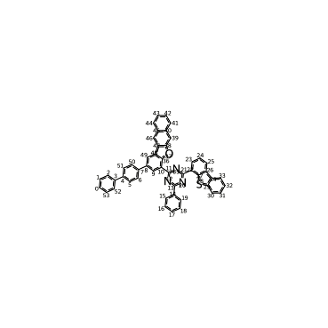 c1ccc(-c2ccc(-c3cc(-c4nc(-c5ccccc5)nc(-c5cccc6c5sc5ccccc56)n4)c4oc5cc6ccccc6cc5c4c3)cc2)cc1